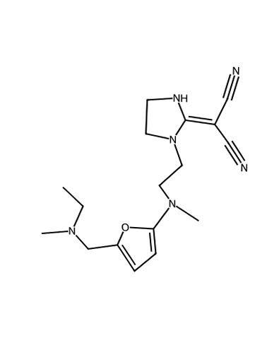 CCN(C)Cc1ccc(N(C)CCN2CCNC2=C(C#N)C#N)o1